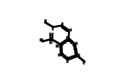 CC/C=C\c1cc(C)ccc1NC